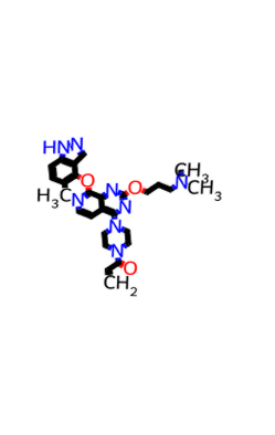 C=CC(=O)N1CCN(c2nc(OCCCN(C)C)nc3c(Oc4c(C)ccc5[nH]ncc45)nccc23)CC1